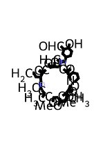 C=CCC1/C=C(\C)CC(C)CC(OC)C2OC(O)(C(=O)C(=O)N3CCCCC3C(=O)OC(/C(C)=C/C3CCC(O)C(C=O)C3)C(C)C(O)CC1=O)C(C)CC2OC